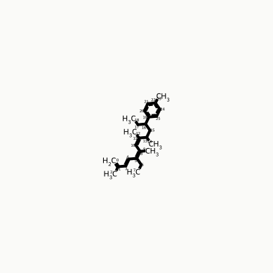 C=C(C)/C=C/C(CC)=C(C)\C=C(\C)C(C)CC(CC)c1ccc(C)cc1